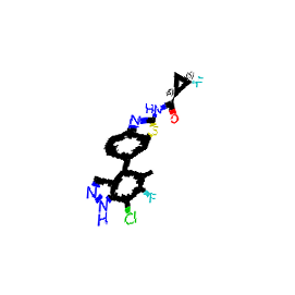 Cc1c(F)c(Cl)c2[nH]ncc2c1-c1ccc2nc(NC(=O)[C@@H]3C[C@@H]3F)sc2c1